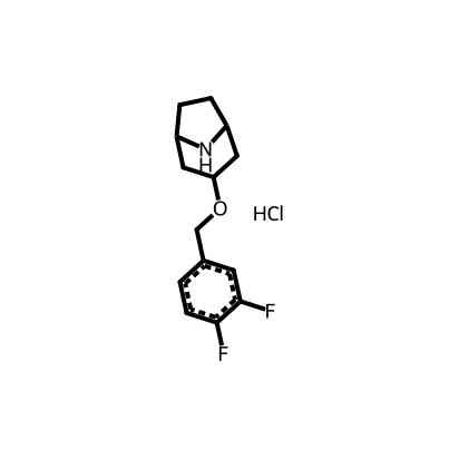 Cl.Fc1ccc(COC2CC3CCC(C2)N3)cc1F